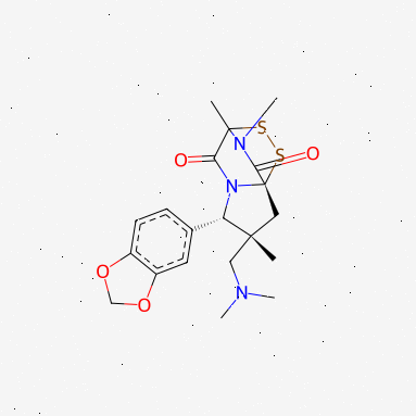 CN(C)C[C@@]1(C)C[C@@]23SSC(C)(C(=O)N2[C@H]1c1ccc2c(c1)OCO2)N(C)C3=O